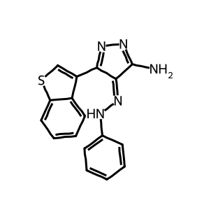 NC1=NN=C(c2csc3ccccc23)/C1=N\Nc1ccccc1